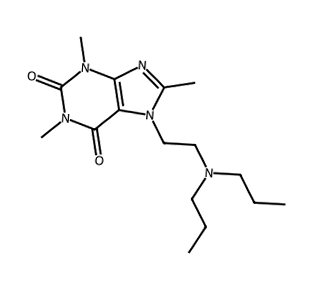 CCCN(CCC)CCn1c(C)nc2c1c(=O)n(C)c(=O)n2C